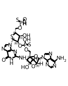 Nc1nc2c(ncn2[C@@H]2S[C@H](CO[PH](O)=S)[C@@H](O)[C@H]2OP(O)(=S)OC[C@@]23C[C@]4(O)O[C@@H]([C@H](n5cnc6c(N)ncnc65)O2)[C@@H]34)c(=O)[nH]1